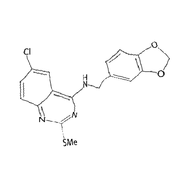 CSc1nc(NCc2ccc3c(c2)OCO3)c2cc(Cl)ccc2n1